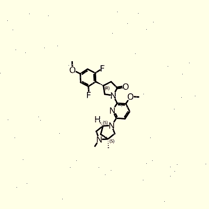 COc1cc(F)c([C@H]2CC(=O)N(c3nc(N4C[C@]5(C)C[C@H]4CN5C)ccc3OC)C2)c(F)c1